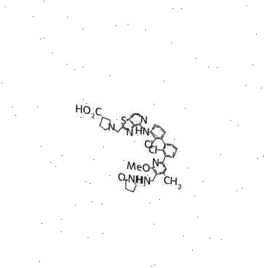 COc1nc(-c2cccc(-c3cccc(Nc4nccc5sc(CN6CC[C@H](C(=O)O)C6)nc45)c3Cl)c2Cl)cc(C)c1CNC[C@@H]1CCC(=O)N1